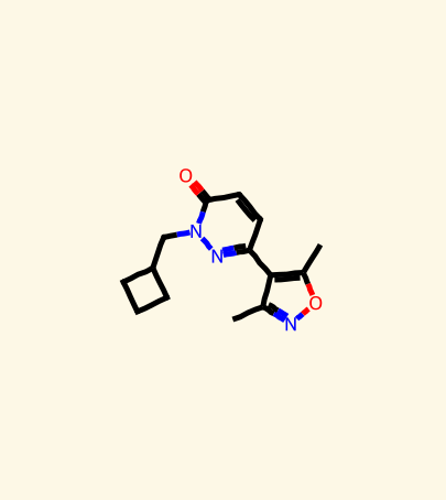 Cc1noc(C)c1-c1ccc(=O)n(CC2CCC2)n1